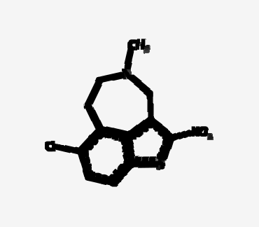 CN1CCc2c(Cl)ccc3sc([N+](=O)[O-])c(c23)C1